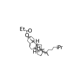 CCC(=O)O[C@H]1CC[C@@]2(C)C(=CC[C@@H]3[C@H]2CC[C@]2(C)[C@@H]([C@H](C)CCCC(C)C)CC[C@@H]32)C1